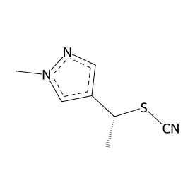 C[C@@H](SC#N)c1cnn(C)c1